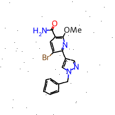 COc1nc(-c2cnn(Cc3ccccc3)c2)c(Br)cc1C(N)=O